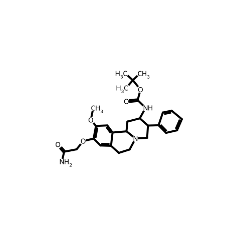 COc1cc2c(cc1OCC(N)=O)CCN1CC(c3ccccc3)C(NC(=O)OC(C)(C)C)CC21